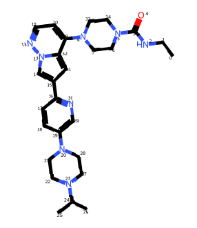 CCNC(=O)N1CCN(c2ccnn3cc(-c4ccc(N5CCN(C(C)C)CC5)cn4)cc23)CC1